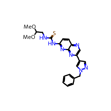 COC(CNC(=S)Nc1ccc2ncc(-c3cnn(Cc4ccccc4)c3)nc2n1)OC